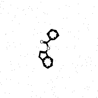 O=C(OC1=CCc2ccccc21)c1ccccc1